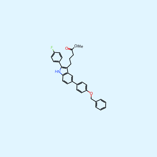 COC(=O)CCCc1c(-c2ccc(F)cc2)[nH]c2ccc(-c3ccc(OCc4ccccc4)cc3)cc12